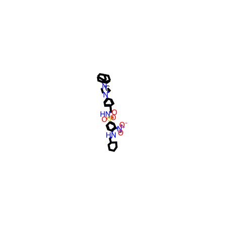 O=C(NS(=O)(=O)c1ccc(NCC2CCCCC2)c([N+](=O)[O-])c1)c1ccc(N2CCN(C34CC5CC(CC(C5)C3)C4)CC2)cc1